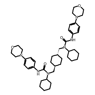 O=C(Nc1ccc(N2CCOCC2)cc1)N(C[C@H]1CC[C@H](CN(C(=O)Nc2ccc(N3CCOCC3)cc2)C2CCCCC2)CC1)C1CCCCC1